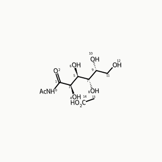 CC(=O)NC(=O)[C@H](O)[C@@H](O)[C@@H](O)[C@H](O)CO.CC(=O)O